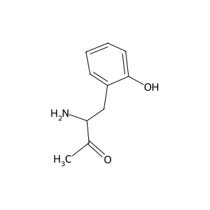 CC(=O)C(N)Cc1ccccc1O